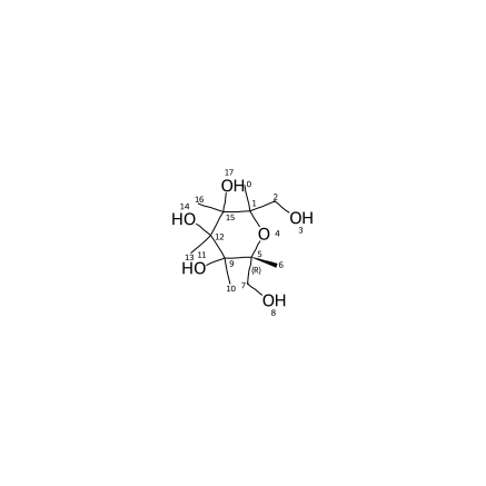 CC1(CO)O[C@](C)(CO)C(C)(O)C(C)(O)C1(C)O